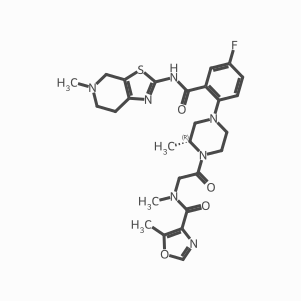 Cc1ocnc1C(=O)N(C)CC(=O)N1CCN(c2ccc(F)cc2C(=O)Nc2nc3c(s2)CN(C)CC3)C[C@H]1C